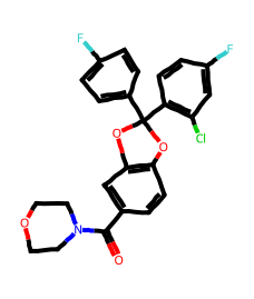 O=C(c1ccc2c(c1)OC(c1ccc(F)cc1)(c1ccc(F)cc1Cl)O2)N1CCOCC1